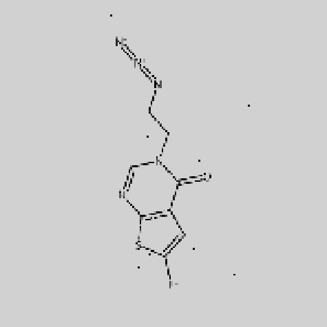 CCc1cc2c(=O)n(CCN=[N+]=[N-])cnc2s1